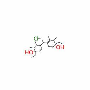 CCC1(O)C=CC(C(CCl)C2=C(C)C(C)C(O)(CC)C=C2)=C(C)C1C